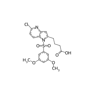 COc1cc(OC)cc(S(=O)(=O)n2c(CCCC(=O)O)cc3nc(Cl)ccc32)c1